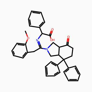 COc1ccccc1CC(=NC(C(=O)O)c1ccccc1)N1CC2C(=O)CCC(c3ccccc3)(c3ccccc3)C2C1